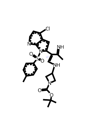 CC(=N)/C(=C\NC1CN(C(=O)OC(C)(C)C)C1)c1cc2c(Cl)ccnc2n1S(=O)(=O)c1ccc(C)cc1